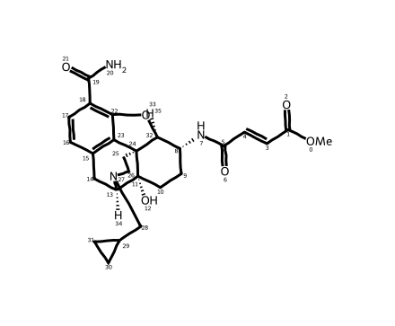 COC(=O)/C=C/C(=O)N[C@@H]1CC[C@@]2(O)[C@H]3Cc4ccc(C(N)=O)c5c4[C@@]2(CCN3CC2CC2)[C@H]1O5